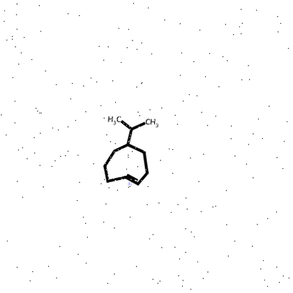 CC(C)C1CC/C=C/CCC1